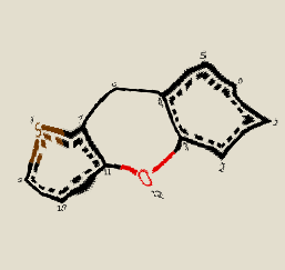 c1ccc2c(c1)Cc1sccc1O2